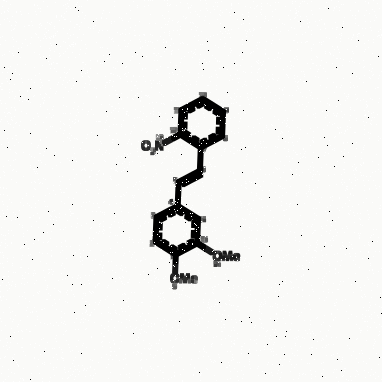 COc1ccc(C=Cc2ccccc2[N+](=O)[O-])cc1OC